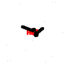 CCCCCCCCCCCCc1cccc(C(=O)Oc2ccccc2CCCCCCCCC)c1O